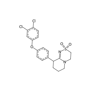 O=S1(=O)CCN2CCCC(c3ccc(Oc4ccc(Cl)c(Cl)c4)cc3)C2=N1